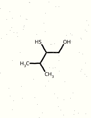 CC(C)C(S)CO